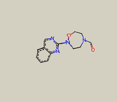 O=CN1CCON(c2ncc3ccccc3n2)CC1